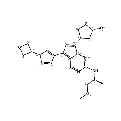 COC[C@H](C)Nc1ncc2c(-c3cnn(C4COC4)c3)cc([C@@H]3CC[C@H](O)C3)n2n1